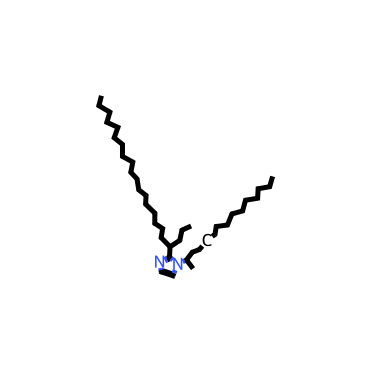 CCCCCCCCCCCCCCCCCCC(CCC)c1nccn1C(C)CCCCCCCCCCCCC